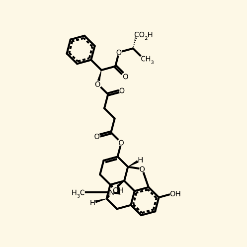 C[C@H](OC(=O)[C@@H](OC(=O)CCC(=O)OC1=CC[C@@]2(O)[C@H]3Cc4ccc(O)c5c4[C@@]2(CCN3C)[C@H]1O5)c1ccccc1)C(=O)O